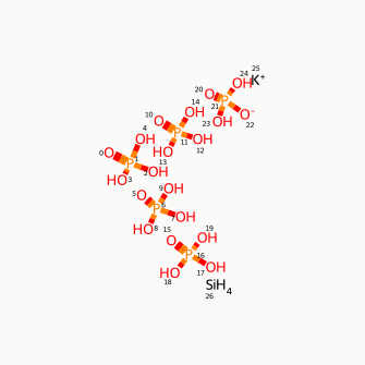 O=P(O)(O)O.O=P(O)(O)O.O=P(O)(O)O.O=P(O)(O)O.O=P([O-])(O)O.[K+].[SiH4]